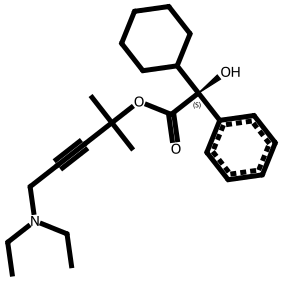 CCN(CC)CC#CC(C)(C)OC(=O)[C@@](O)(c1ccccc1)C1CCCCC1